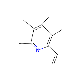 C=Cc1nc(C)c(C)c(C)c1C